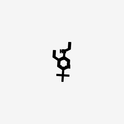 C=CNc1cnc(C(C)(C)C)cc1C=C